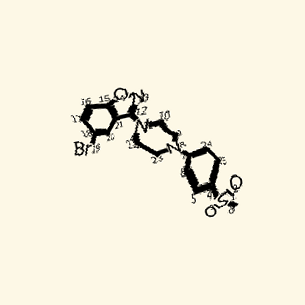 CS(=O)(=O)c1ccc(N2CCN(c3noc4ccc(Br)cc34)CC2)cc1